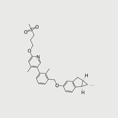 Cc1cc(OCCCS(C)(=O)=O)ncc1-c1cccc(COc2ccc3c(c2)C[C@H]2[C@H](C)[C@@H]32)c1C